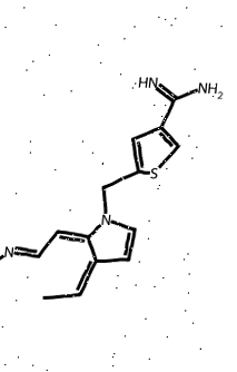 C/C=c1/ccn(Cc2cc(C(=N)N)cs2)/c1=C/C=N/C